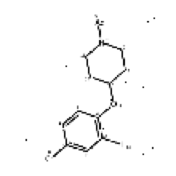 CC(=O)N1CCC(Oc2ccc(Cl)cc2I)CC1